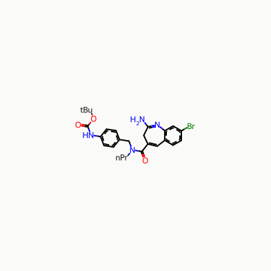 CCCN(Cc1ccc(NC(=O)OC(C)(C)C)cc1)C(=O)C1=Cc2ccc(Br)cc2N=C(N)C1